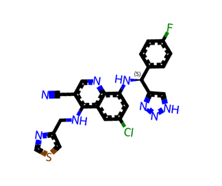 N#Cc1cnc2c(N[C@@H](c3ccc(F)cc3)c3c[nH]nn3)cc(Cl)cc2c1NCc1cscn1